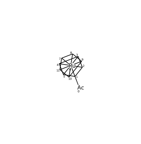 CC(=O)[C]12[CH]3[CH]4[CH]5[CH]1[Ru]45321678[CH]2[CH]1[CH]6[CH]7[CH]28